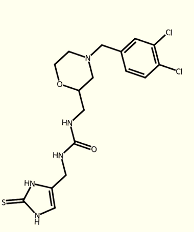 O=C(NCc1c[nH]c(=S)[nH]1)NCC1CN(Cc2ccc(Cl)c(Cl)c2)CCO1